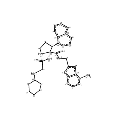 Nc1nccc2sc(CNC(=O)[C@@]3(NC(=O)CNC4CCCCC4)NCC[C@H]3c3cccc4ccccc34)cc12